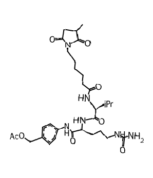 CC(=O)OCc1ccc(NC(=O)[C@H](CCCNC(N)=O)NC(=O)[C@@H](NC(=O)CCCCCN2C(=O)CC(C)C2=O)C(C)C)cc1